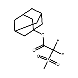 CS(=O)(=O)C(F)(F)C(=O)OC12CC3CC(CC(C3)C1)C2